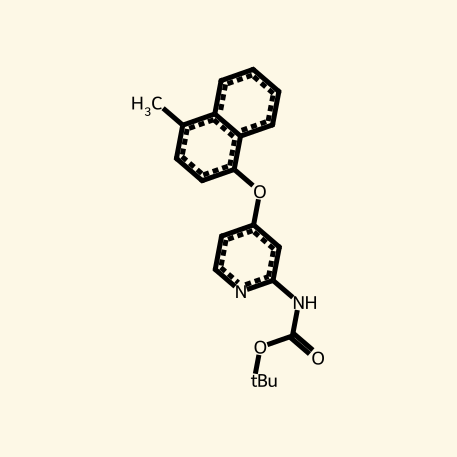 Cc1ccc(Oc2ccnc(NC(=O)OC(C)(C)C)c2)c2ccccc12